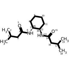 CC(C)CC(=O)N[C@@H]1CCCC[C@H]1NC(=O)CC(C)C